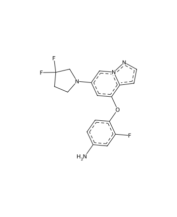 Nc1ccc(Oc2cc(N3CCC(F)(F)C3)cn3nccc23)c(F)c1